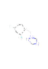 Fc1ccc([CH]n2cncn2)c(F)c1